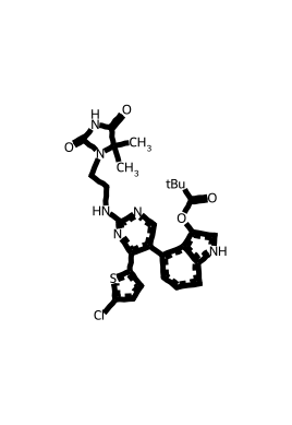 CC(C)(C)C(=O)Oc1c[nH]c2cccc(-c3cnc(NCCN4C(=O)NC(=O)C4(C)C)nc3-c3ccc(Cl)s3)c12